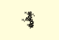 CCS(=O)(=O)c1cc(N=S(C)(C)=O)cnc1-c1nc2cc(S(=N)(=O)C(F)(F)F)ccc2o1